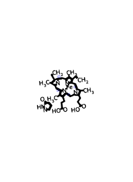 C=CC1=C(C)C2=NC/1=C\c1c(C)c(C=C)c3[n]1[Fe][n]1/c(c(C)c(CCC(=O)O)/c1=C/C1=NC(=C\3)/C(C)=C1CCC(=O)O)=C\2.O=c1cccn[nH]1